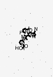 Cc1c(-c2cc(O[C@H](C)c3ccc(F)cn3)c3c(C#N)cnn3c2)cnn1[C@H]1CCCN(C(=O)[C@H](C)O)C1